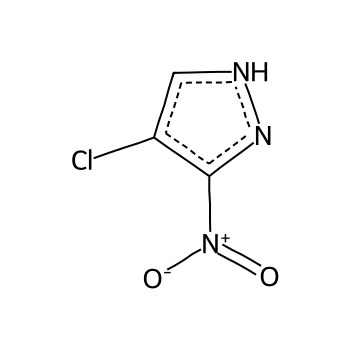 O=[N+]([O-])c1n[nH]cc1Cl